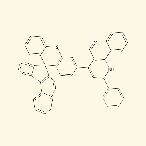 C=CC1=C(c2ccccc2)NC(c2ccccc2)C=C1c1ccc2c(c1)Sc1ccccc1C21c2ccccc2-c2c1ccc1ccccc21